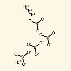 [O-]B([O-])[O-].[O-]B([O-])[O-].[O-]B([O-])[O-].[O-]B([O-])[O-].[Tb+3].[Tb+3].[Tb+3].[Tb+3]